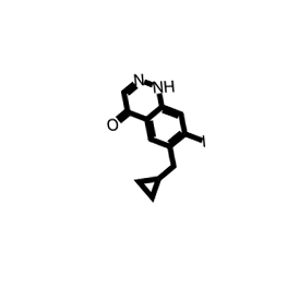 O=c1cn[nH]c2cc(I)c(CC3CC3)cc12